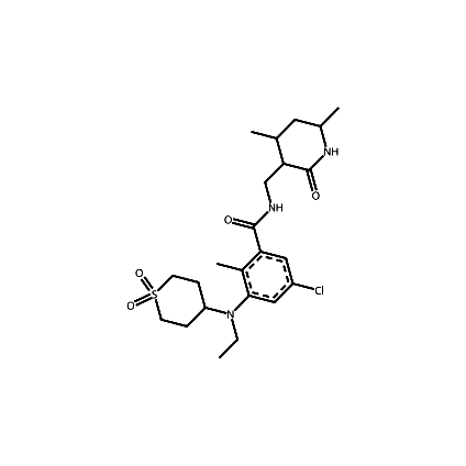 CCN(c1cc(Cl)cc(C(=O)NCC2C(=O)NC(C)CC2C)c1C)C1CCS(=O)(=O)CC1